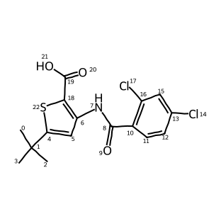 CC(C)(C)c1cc(NC(=O)c2ccc(Cl)cc2Cl)c(C(=O)O)s1